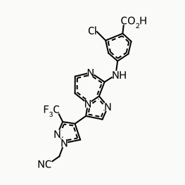 N#CCn1cc(-c2cnc3c(Nc4ccc(C(=O)O)c(Cl)c4)nccn23)c(C(F)(F)F)n1